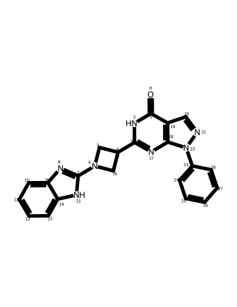 O=c1[nH]c(C2CN(c3nc4ccccc4[nH]3)C2)nc2c1cnn2-c1ccccc1